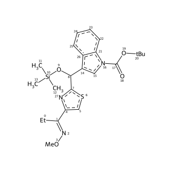 CCC(=NOC)c1csc(C(O[Si](C)(C)C)c2cn(C(=O)OC(C)(C)C)c3ccccc23)n1